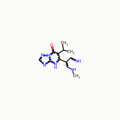 CN/C=C(\C=N)c1[nH]c2ncnn2c(=O)c1C(C)C